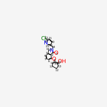 O=C1c2c(cccc2O[C@H]2CCCC[C@@H]2O)CN1Cc1ccc(Cl)nc1